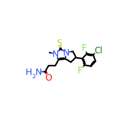 Cn1c(CCC(N)=O)c2n(c1=S)CC(c1c(F)ccc(Cl)c1F)C2